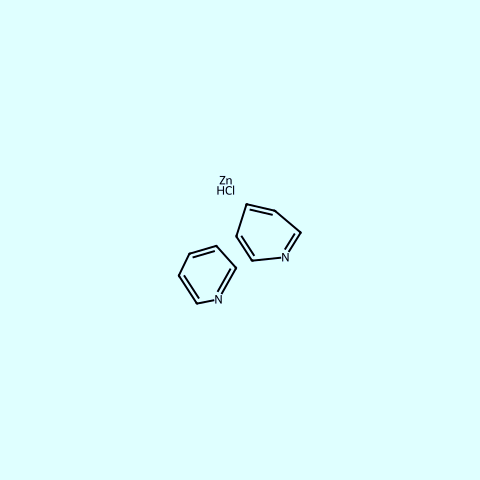 Cl.[Zn].c1ccncc1.c1ccncc1